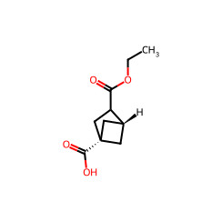 CCOC(=O)C1C[C@]2(C(=O)O)C[C@@H]1C2